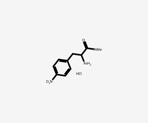 CNC(=O)C([AsH2])Cc1ccc([N+](=O)[O-])cc1.Cl